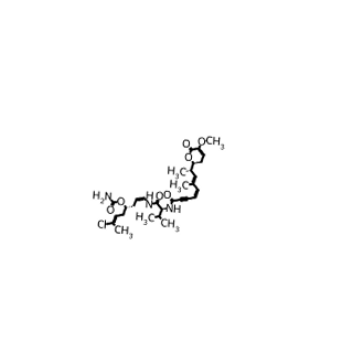 COC1=CC[C@@H]([C@@H](C)/C=C(C)/C=C\C#CC(=O)N[C@H](C(=O)N/C=C\C[C@H](C/C=C(\C)Cl)OC(N)=O)C(C)C)OC1=O